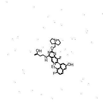 C=C(O)CCNc1nc(OCC23CCCN2CCC3)nc2c(F)c(-c3cc(O)cc4ccc(F)c(CC)c34)ncc12